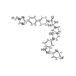 [2H]C([2H])(C(=O)N1CC=C(c2ccc(-c3ncn(C)n3)cc2)CC1)N1CC[C@]2(CCN(c3ccc4[nH]nc(-c5ccc(F)cn5)c4c3)C2=O)C1